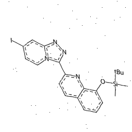 CC(C)(C)[Si](C)(C)Oc1cccc2ccc(-c3nnc4cc(I)ccn34)nc12